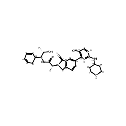 C[C@H](O)[C@@H](NC(=O)[C@@H](C)N1Cc2ccc(-c3nc(NC4CCOCC4)ncc3Cl)cc2C1=O)C1C=CC=CC1